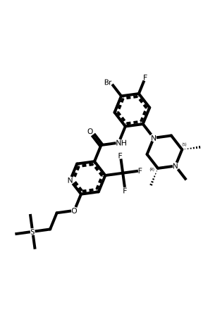 C[C@@H]1CN(c2cc(F)c(Br)cc2NC(=O)c2cnc(OCCS(C)(C)C)cc2C(F)(F)F)C[C@H](C)N1C